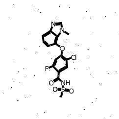 Cn1cnc2cccc(Oc3cc(F)c(C(=O)NS(C)(=O)=O)cc3Cl)c21